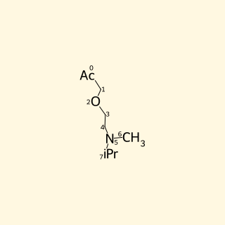 CC(=O)COCCN(C)C(C)C